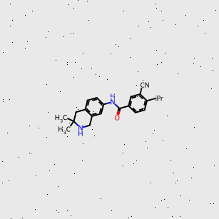 CC(C)c1ccc(C(=O)Nc2ccc3c(c2)CNC(C)(C)C3)cc1C#N